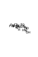 Cc1cc(Nc2nccn3c(-c4cn(CC(F)F)nc4C(F)(F)F)cnc23)cc(F)c1C(=O)N1CCN(C(=O)[C@@H]2C[C@@H](O)CN2)CC1